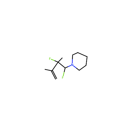 C=C(C)C(C)(F)C(F)N1CCCCC1